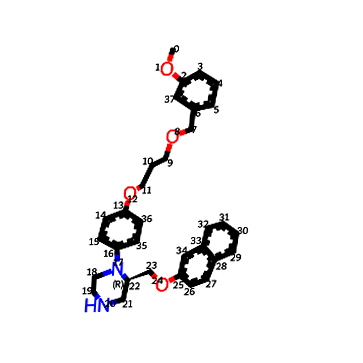 COc1cccc(COCCCOc2ccc(N3CCNC[C@@H]3COc3ccc4ccccc4c3)cc2)c1